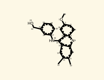 COc1ccc2nc3cc(C)c(C)cc3c(Nc3cccc(CO)c3)c2c1